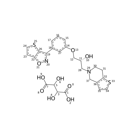 O=C(O)C(O)C(O)C(=O)O.O[C@@H](COc1cccc(-c2noc3ccsc23)c1)CN1CCc2sccc2C1